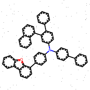 c1ccc(-c2ccc(N(c3ccc(-c4cccc5c4oc4ccccc45)cc3)c3ccc(-c4ccccc4)c(-c4cccc5ccccc45)c3)cc2)cc1